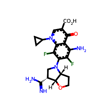 N=C(N)[C@@H]1CN(c2c(F)c(N)c3c(=O)c(C(=O)O)cn(C4CC4)c3c2F)[C@@H]2CCO[C@@H]21